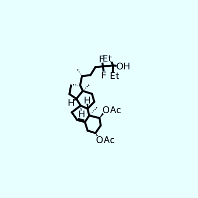 CCC(O)(CC)C(F)(F)CC[C@@H](C)[C@H]1CC[C@H]2[C@@H]3CC=C4C[C@@H](OC(C)=O)C[C@H](OC(C)=O)[C@]4(C)[C@H]3CC[C@]12C